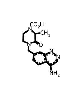 CC1C(=O)N(Cc2ccc3c(N)cnnc3c2)CCN1C(=O)O